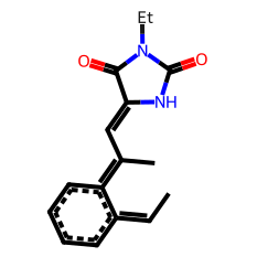 C/C=c1/cccc/c1=C(C)\C=C1/NC(=O)N(CC)C1=O